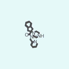 O=C(NCc1ccccn1)C1(N2CCNCC2)Cc2ccccc2C1